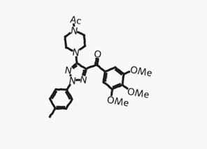 COc1cc(C(=O)c2nn(-c3ccc(C)cc3)nc2N2CCN(C(C)=O)CC2)cc(OC)c1OC